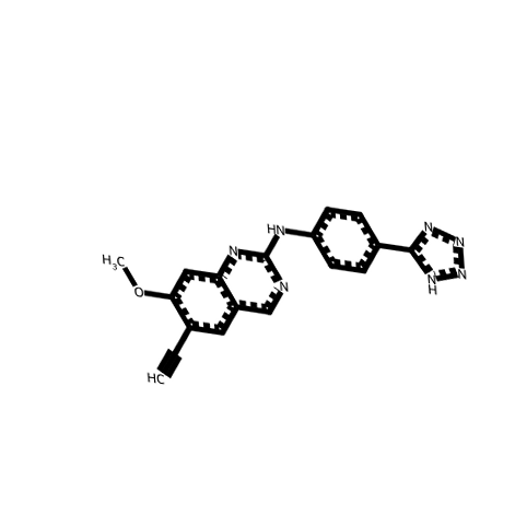 C#Cc1cc2cnc(Nc3ccc(-c4nnn[nH]4)cc3)nc2cc1OC